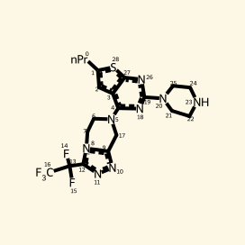 CCCc1cc2c(N3CCn4c(nnc4C(F)(F)C(F)(F)F)C3)nc(N3CCNCC3)nc2s1